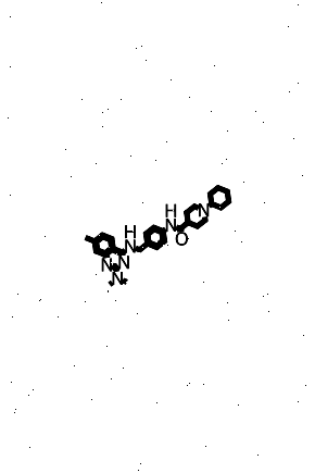 Cc1ccc2c(NCc3ccc(NC(=O)C4CCN(C5CCCCC5)CC4)cc3)nc(N(C)C)nc2c1